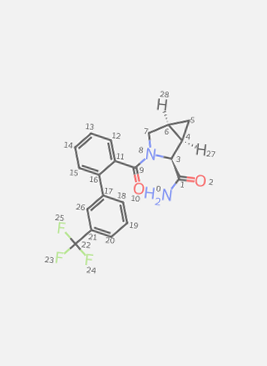 NC(=O)[C@@H]1[C@@H]2C[C@@H]2CN1C(=O)c1ccccc1-c1cccc(C(F)(F)F)c1